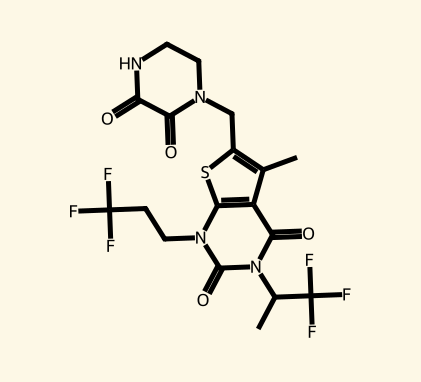 Cc1c(CN2CCNC(=O)C2=O)sc2c1c(=O)n(C(C)C(F)(F)F)c(=O)n2CCC(F)(F)F